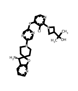 CC(C)(O)C1CN(c2nccc(Sc3cnc(N4CCC5(CC4)Oc4ncccc4[C@H]5N)cn3)c2Cl)C1